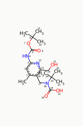 Cc1cc(NC(=O)OC(C)(C)C)nc(CO)c1CN(C(=O)O)C(C)(C)C